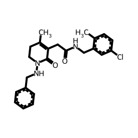 CC1=C(CC(=O)NCc2cc(Cl)ccc2C)C(=O)N(NCc2ccccc2)CC1